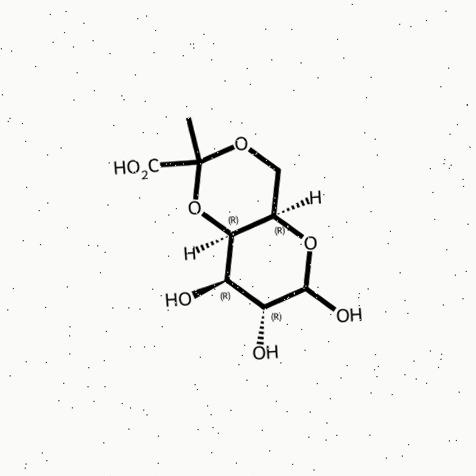 CC1(C(=O)O)OC[C@H]2OC(O)[C@H](O)[C@@H](O)[C@H]2O1